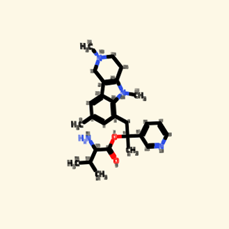 Cc1cc(CC(C)(OC(=O)C(N)C(C)C)c2cccnc2)c2c(c1)c1c(n2C)CCN(C)C1